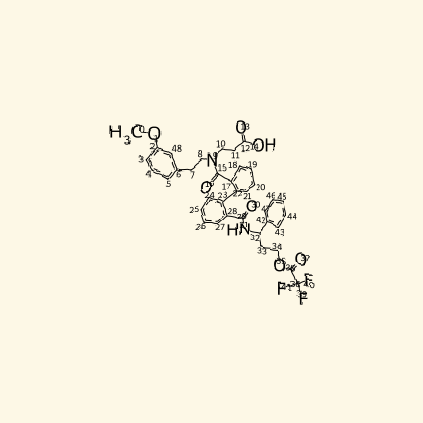 COc1cccc(CCN(CCC(=O)O)C(=O)c2ccccc2-c2ccccc2C(=O)NC(CCOC(=O)C(F)(F)F)c2ccccc2)c1